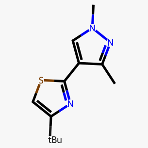 Cc1nn(C)cc1-c1nc(C(C)(C)C)cs1